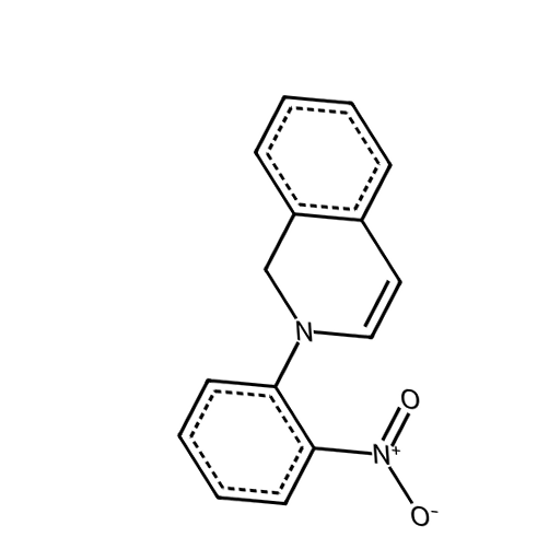 O=[N+]([O-])c1ccccc1N1C=Cc2ccccc2C1